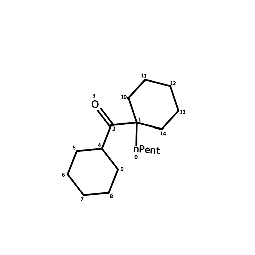 CCCCCC1(C(=O)C2CCCCC2)CCCCC1